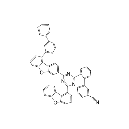 N#Cc1cccc(-c2ccccc2-c2nc(-c3ccc4c(c3)oc3cccc(-c5cccc(-c6ccccc6)c5)c34)nc(-c3cccc4oc5ccccc5c34)n2)c1